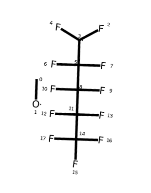 C[O].F[C](F)C(F)(F)C(F)(F)C(F)(F)C(F)(F)F